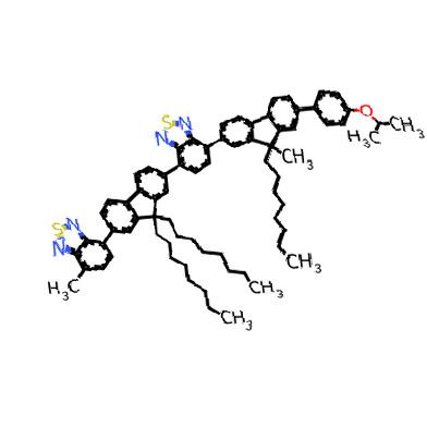 CCCCCCCCC1(C)c2cc(-c3ccc(OC(C)C)cc3)ccc2-c2ccc(-c3ccc(-c4ccc5c(c4)C(CCCCCCCC)(CCCCCCCC)c4cc(-c6ccc(C)c7nsnc67)ccc4-5)c4nsnc34)cc21